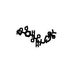 COc1cc(NC(=O)C(=O)NC(C)(C)CN2CCN(S(=O)(=O)C(C)C)CC2)ccc1-c1cnco1